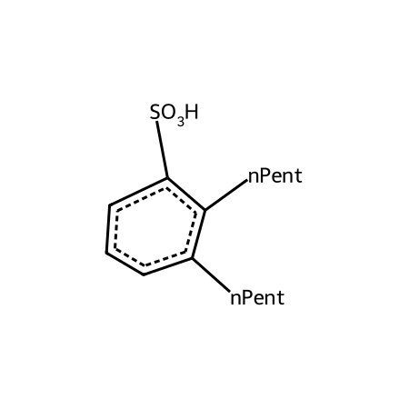 CCCCCc1cccc(S(=O)(=O)O)c1CCCCC